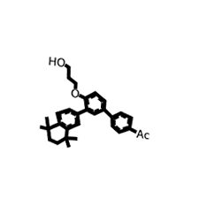 CC(=O)c1ccc(-c2ccc(OCCCO)c(-c3ccc4c(c3)C(C)(C)CCC4(C)C)c2)cc1